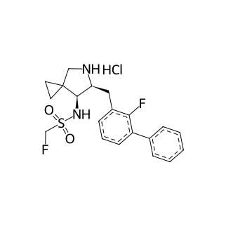 Cl.O=S(=O)(CF)N[C@@H]1[C@H](Cc2cccc(-c3ccccc3)c2F)NCC12CC2